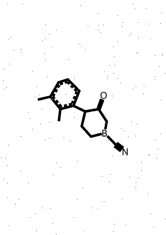 Cc1cccc(C2CCB(C#N)CC2=O)c1C